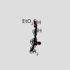 C=CC(=O)OCCOC(=O)NCC1CC2CCC1C2CCNC(=O)OCCCCOCC(=O)NCCC1CC2CC1CC2CNC(=O)OCC